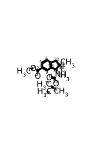 COC(=O)c1ccc2c(c1)C(NC(=O)OC(C)(C)C)C(C)(C)C2